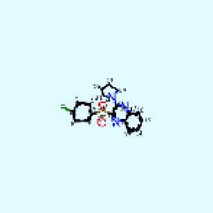 O=S(=O)(c1ccc(F)cc1)c1nc2ccccc2nc1N1CCCC1